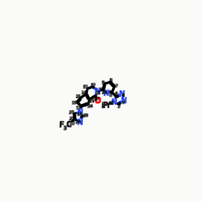 CC(C)n1cnnc1-c1cccc(N2CCc3ccc(-n4cnc(C(F)(F)F)c4)cc3C2=O)n1